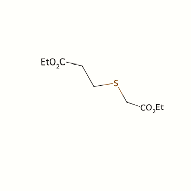 CCOC(=O)CCSCC(=O)OCC